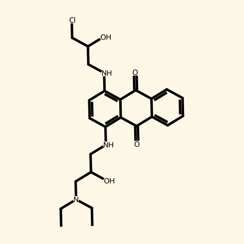 CCN(CC)CC(O)CNc1ccc(NCC(O)CCl)c2c1C(=O)c1ccccc1C2=O